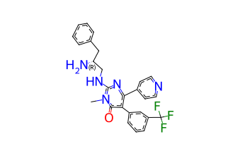 Cn1c(NC[C@H](N)Cc2ccccc2)nc(-c2ccncc2)c(-c2cccc(C(F)(F)F)c2)c1=O